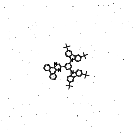 CC(C)(C)c1ccc2c(c1)c1cc(C(C)(C)C)ccc1n2-c1cc(-c2cnc3c4ccccc4c4ccccc4c3n2)cc(-n2c3ccc(C(C)(C)C)cc3c3cc(C(C)(C)C)ccc32)c1